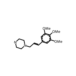 COc1cc(/C=C/CN2CC[N]CC2)cc(OC)c1OC